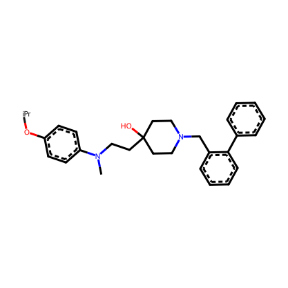 CC(C)Oc1ccc(N(C)CCC2(O)CCN(Cc3ccccc3-c3ccccc3)CC2)cc1